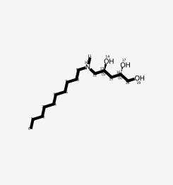 CCCCCCCCCCN(C)C[C@@H](O)C[C@H](O)CO